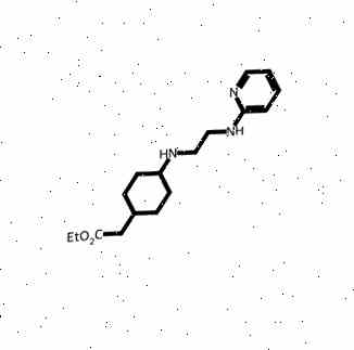 CCOC(=O)CC1CCC(NCCNc2ccccn2)CC1